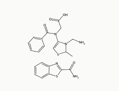 CC1SC=C(N(CC(=O)O)C(=O)c2ccccc2)N1CN.NC(=O)c1nc2ccccc2s1